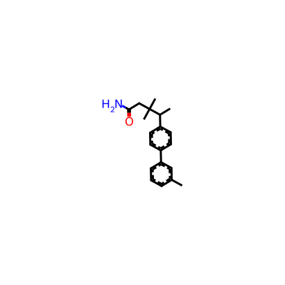 Cc1cccc(-c2ccc(C(C)C(C)(C)CC(N)=O)cc2)c1